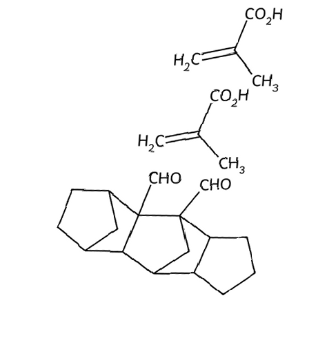 C=C(C)C(=O)O.C=C(C)C(=O)O.O=CC12CC(C3CCCC31)C1C3CCC(C3)C12C=O